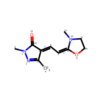 CN1N=C(C(F)(F)F)/C(=C\C=C2\OCCN2C)C1=O